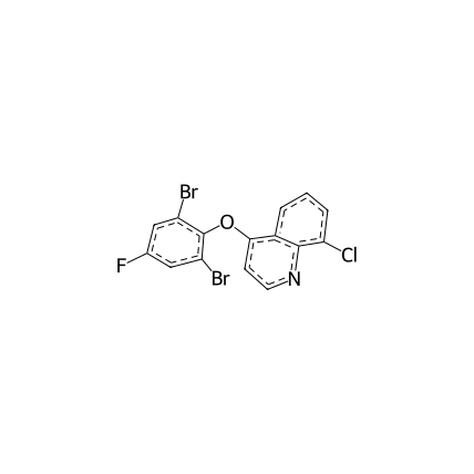 Fc1cc(Br)c(Oc2ccnc3c(Cl)cccc23)c(Br)c1